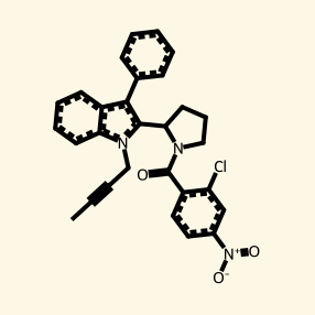 CC#CCn1c(C2CCCN2C(=O)c2ccc([N+](=O)[O-])cc2Cl)c(-c2ccccc2)c2ccccc21